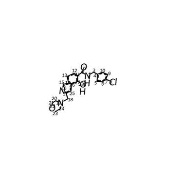 O=C(NCc1ccc(Cl)cc1)c1ccc2cnc(CN3CCOCC3)cc2c1O